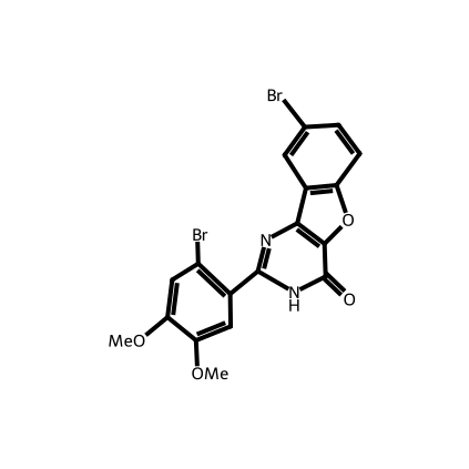 COc1cc(Br)c(-c2nc3c(oc4ccc(Br)cc43)c(=O)[nH]2)cc1OC